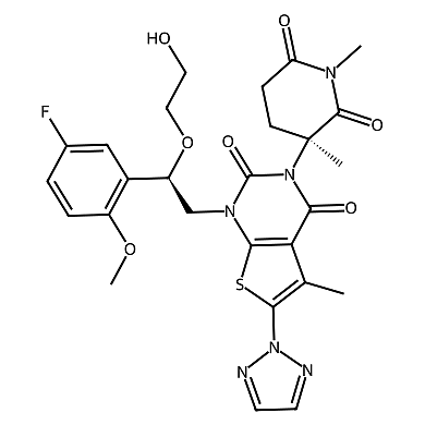 COc1ccc(F)cc1[C@H](Cn1c(=O)n([C@@]2(C)CCC(=O)N(C)C2=O)c(=O)c2c(C)c(-n3nccn3)sc21)OCCO